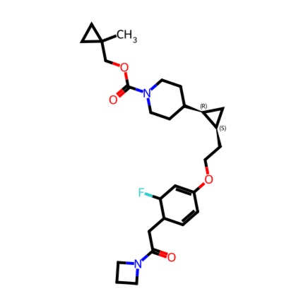 CC1(COC(=O)N2CCC([C@H]3C[C@H]3CCOC3=CC(F)C(CC(=O)N4CCC4)C=C3)CC2)CC1